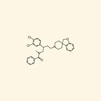 CN(CC(CCN1CCC2(CC1)COc1ccccc12)c1ccc(Cl)c(Cl)c1)C(=O)c1ccccc1